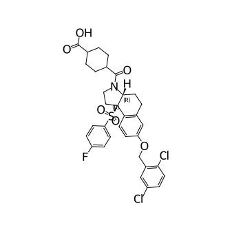 O=C(O)C1CCC(C(=O)N2CC[C@@]3(S(=O)(=O)c4ccc(F)cc4)c4ccc(OCc5cc(Cl)ccc5Cl)cc4CC[C@@H]23)CC1